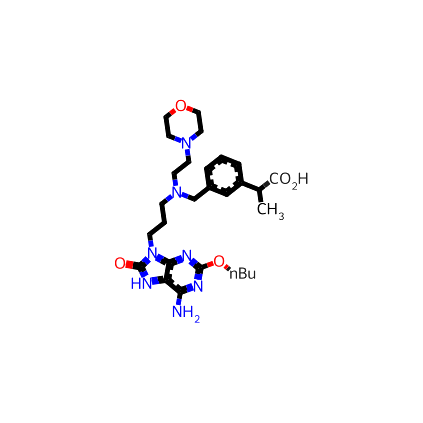 CCCCOc1nc(N)c2[nH]c(=O)n(CCCN(CCN3CCOCC3)Cc3cccc(C(C)C(=O)O)c3)c2n1